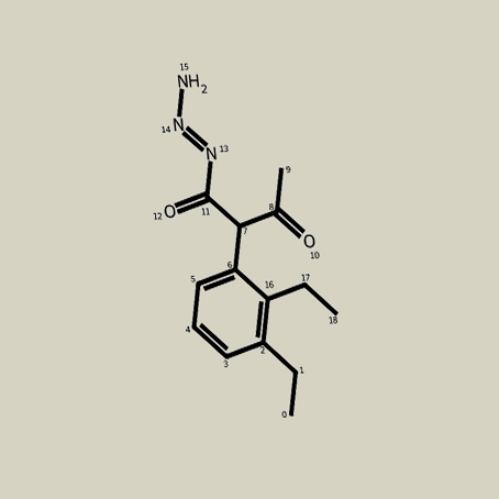 CCc1cccc(C(C(C)=O)C(=O)N=NN)c1CC